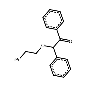 CC(C)CCOC(C(=O)c1ccccc1)c1ccccc1